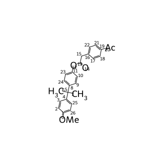 COc1ccc(C(C)(C)c2ccc(OC(=O)Cc3ccc(C(C)=O)cc3)cc2)cc1